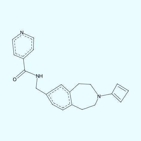 O=C(NCc1ccc2c(c1)CCN(C1=CC=C1)CC2)c1ccncc1